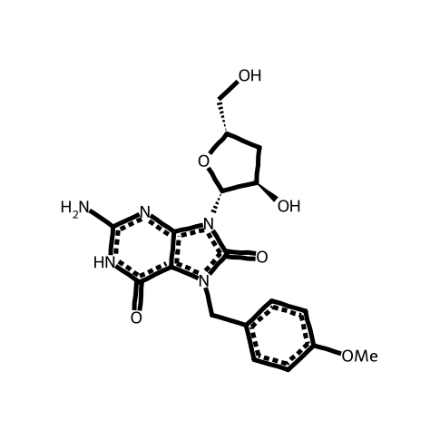 COc1ccc(Cn2c(=O)n([C@@H]3O[C@H](CO)C[C@H]3O)c3nc(N)[nH]c(=O)c32)cc1